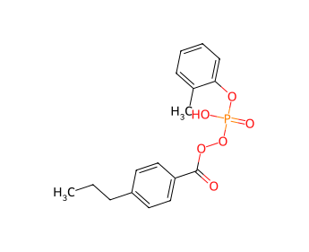 CCCc1ccc(C(=O)OOP(=O)(O)Oc2ccccc2C)cc1